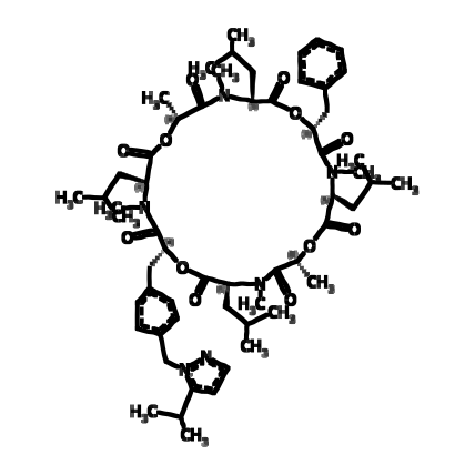 CC(C)C[C@H]1C(=O)O[C@H](Cc2ccc(Cn3nccc3C(C)C)cc2)C(=O)N(C)[C@@H](CC(C)C)C(=O)O[C@H](C)C(=O)N(C)[C@@H](CC(C)C)C(=O)O[C@H](Cc2ccccc2)C(=O)N(C)[C@@H](CC(C)C)C(=O)O[C@H](C)C(=O)N1C